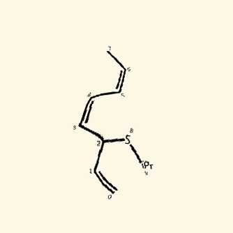 C=CC(/C=C\C=C/C)SC(C)C